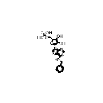 OC1C(O)[C@@H](COP(O)(O)=S)O[C@H]1n1cnc2c(NCc3ccccc3)ncnc21